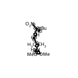 COc1cc(OC)c2c(=O)[nH]c(-c3cc(C)c(OCCOC(=O)Oc4ccc(CC(NC(=O)OC(C)(C)C)C(=O)OCCO[N+](=O)[O-])cc4)c(C)c3)nc2c1